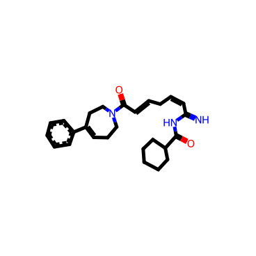 N=C(/C=C\C/C=C/C(=O)N1CCC=C(c2ccccc2)CC1)NC(=O)C1CCCCC1